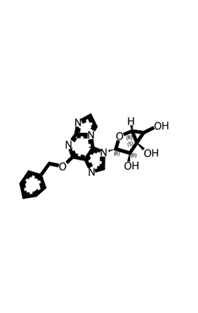 OC1[C@H]2O[C@@H](n3cnc4c(OCc5ccccc5)nc5nccn5c43)[C@H](O)[C@@]12O